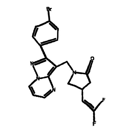 O=C1CC(C=C(F)F)CN1Cc1c(-c2ccc(Br)cc2)nn2cccnc12